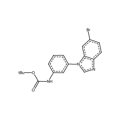 CC(C)(C)OC(=O)Nc1cccc(-n2cnc3ccc(Br)cc32)c1